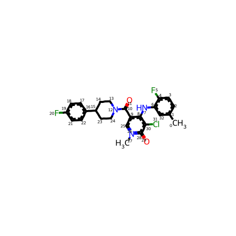 Cc1ccc(F)c(Nc2c(C(=O)N3CCC(c4ccc(F)cc4)CC3)cn(C)c(=O)c2Cl)c1